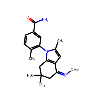 CO/N=C1/CC(C)(C)Cc2c1cc(C)n2-c1cc(C(N)=O)ccc1C